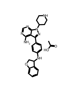 CC(=O)O.Nc1ncnc2c1c(-c1ccc(NC3COc4ccccc43)cc1)nn2C1CCNCC1